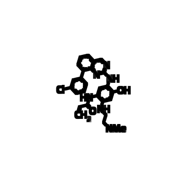 C=CC(=O)Nc1cc(Nc2ncc3cccc(-c4cccc(Cl)c4)c3n2)c(O)cc1NCCNC